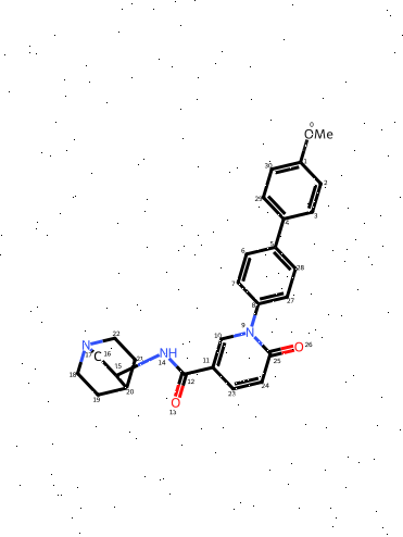 COc1ccc(-c2ccc(-n3cc(C(=O)NC4CN5CCC4CC5)ccc3=O)cc2)cc1